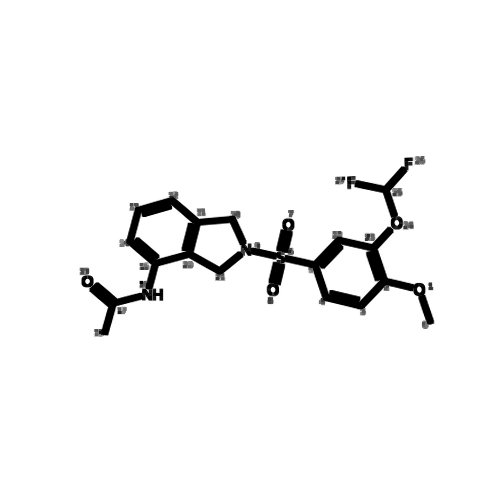 COc1ccc(S(=O)(=O)N2Cc3cccc(NC(C)=O)c3C2)cc1OC(F)F